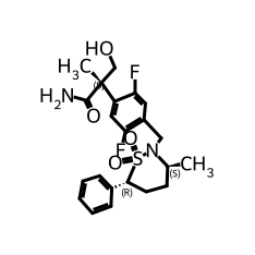 C[C@H]1CC[C@H](c2ccccc2)S(=O)(=O)N1Cc1cc(F)c([C@@](C)(CO)C(N)=O)cc1F